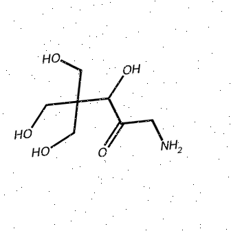 NCC(=O)C(O)C(CO)(CO)CO